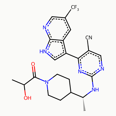 CC(O)C(=O)N1CCC([C@@H](C)Nc2ncc(C#N)c(-c3c[nH]c4ncc(C(F)(F)F)cc34)n2)CC1